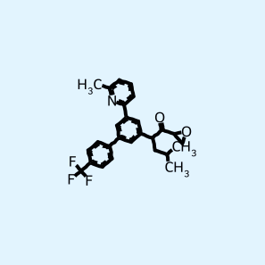 Cc1cccc(-c2cc(-c3ccc(C(F)(F)F)cc3)cc(C(CC(C)C)C(=O)C3CO3)c2)n1